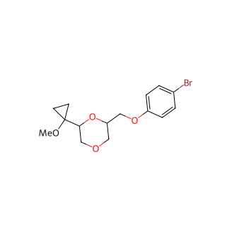 COC1(C2COCC(COc3ccc(Br)cc3)O2)CC1